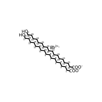 O=C([O-])CCCCCCCCCCCCCCCCCO.O=C([O-])CCCCCCCCCCCCCCCCCO.[Pb+2]